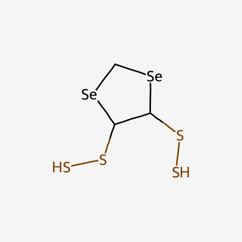 SSC1[Se]C[Se]C1SS